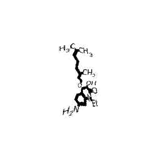 CCn1c(=O)c(O)c(OC/C=C(\C)CCC=C(C)C)c2ccc(N)cc21